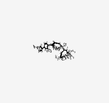 CC1(C)CC(N(c2ccc(-c3ccc(-c4cn[nH]c4)cc3O)nn2)C(F)(F)F)CC(C)(C)N1